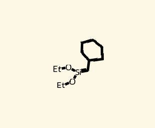 CCO[Si](=CC1CCCCC1)OCC